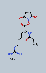 CCC(=O)N[C@@H](CCCCNC(=N)NC)C(=O)ON1C(=O)CCC1=O